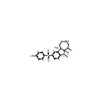 CC1CNCC[C@@H]2c3cc(S(=O)(=O)c4ccc(F)cc4)ccc3N(C)[C@@H]12